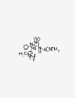 Cc1cc(-c2nc3c(NCCN4CCN(C)CC4)cc(=O)[nH]c3nc2-c2ccccc2)cc(C(F)(F)F)n1